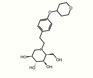 OC[C@H]1[C@@H](O)[C@H](O)[C@@H](O)CN1CCc1ccc(OC2CCOCC2)cc1